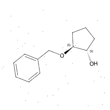 O[C@H]1CCC[C@@H]1OCc1ccccc1